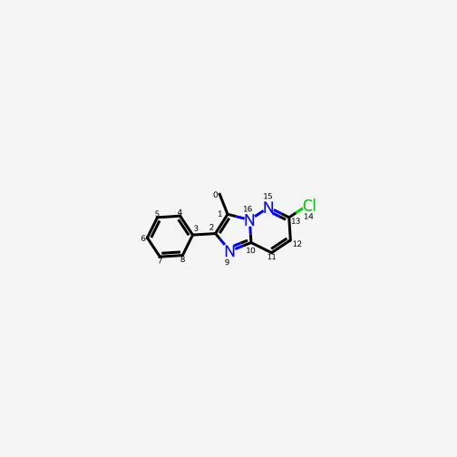 Cc1c(-c2ccccc2)nc2ccc(Cl)nn12